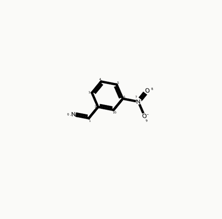 [N]=Cc1cccc([N+](=O)[O-])c1